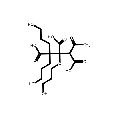 CC(=O)C(C(=O)O)C(OCCCO)(C(=O)O)C(CCCO)(CCCO)C(=O)O